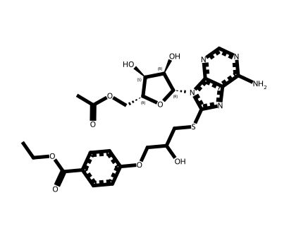 CCOC(=O)c1ccc(OCC(O)CSc2nc3c(N)ncnc3n2[C@@H]2O[C@H](COC(C)=O)[C@@H](O)[C@H]2O)cc1